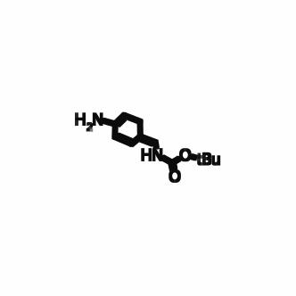 CC(C)(C)OC(=O)NC=C1C=CC(N)=CC1